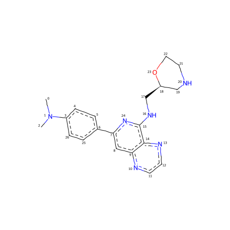 CN(C)c1ccc(-c2cc3nccnc3c(NC[C@@H]3CNCCO3)n2)cc1